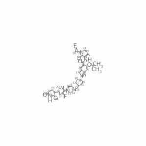 CC(C)Oc1cc2nn([C@H]3CC[C@H](CN4CCN(c5ncc(C6CCC(=O)NC6=O)cc5F)CC4)CC3)cc2cc1C(=O)Nc1cccn([C@H]2C[C@H]2F)c1=O